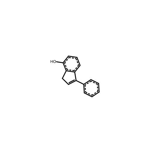 Oc1cccc2c1CC=C2c1ccccc1